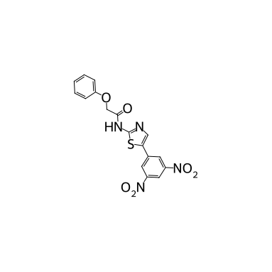 O=C(COc1ccccc1)Nc1ncc(-c2cc([N+](=O)[O-])cc([N+](=O)[O-])c2)s1